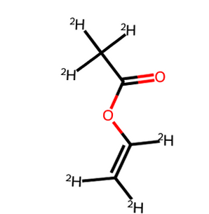 [2H]C([2H])=C([2H])OC(=O)C([2H])([2H])[2H]